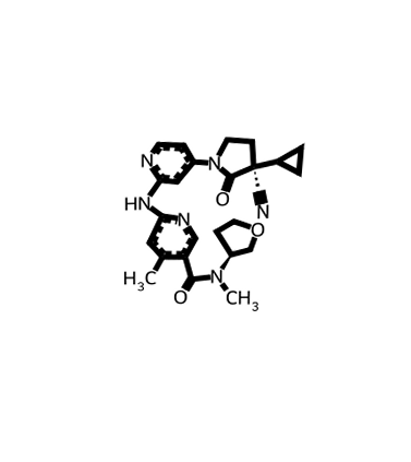 Cc1cc(Nc2cc(N3CC[C@@](C#N)(C4CC4)C3=O)ccn2)ncc1C(=O)N(C)[C@H]1CCOC1